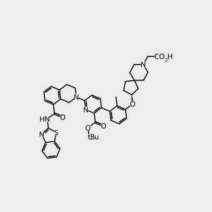 Cc1c(O[C@H]2CCC3(CCN(CC(=O)O)CC3)C2)cccc1-c1ccc(N2CCc3cccc(C(=O)Nc4nc5ccccc5s4)c3C2)nc1C(=O)OC(C)(C)C